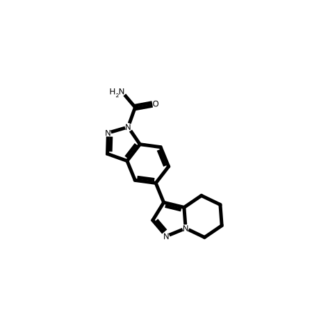 NC(=O)n1ncc2cc(-c3cnn4c3CCCC4)ccc21